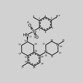 Cc1cc(F)ccc1S(=O)(=O)N[C@@H]1CCc2c(C)ccc(N3CCN(C)CC3)c2C1